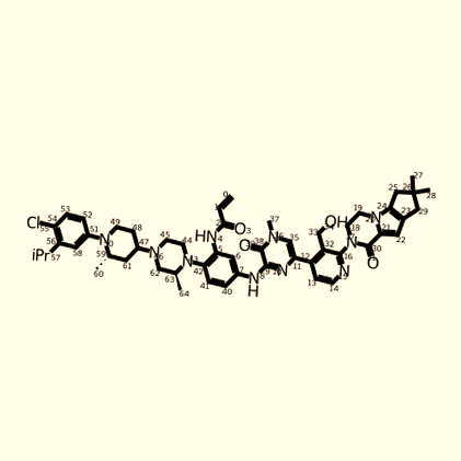 C=CC(=O)Nc1cc(Nc2nc(-c3ccnc(N4CCn5c(cc6c5CC(C)(C)C6)C4=O)c3CO)cn(C)c2=O)ccc1N1CCN(C2CCN(c3ccc(Cl)c(C(C)C)c3)[C@@H](C)C2)C[C@@H]1C